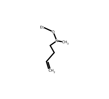 C=CCCN(C)OCC